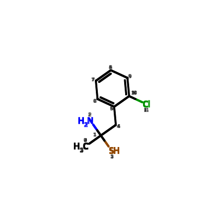 CC(N)(S)Cc1ccccc1Cl